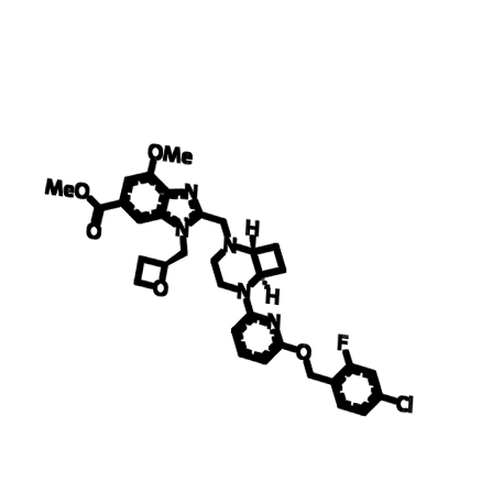 COC(=O)c1cc(OC)c2nc(CN3CCN(c4cccc(OCc5ccc(Cl)cc5F)n4)[C@@H]4CC[C@H]43)n(C[C@@H]3CCO3)c2c1